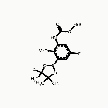 COc1c(NC(=O)OC(C)(C)C)cc(F)cc1B1OC(C)(C)C(C)(C)O1